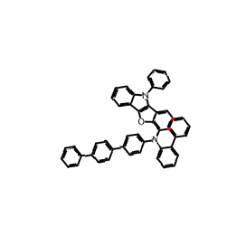 c1ccc(-c2ccc(-c3ccc(N(c4ccccc4-c4ccccc4)c4cccc5c4oc4c6ccccc6n(-c6ccccc6)c54)cc3)cc2)cc1